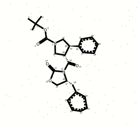 CC(C)(C)OC(=O)N1C[C@@H](C(=O)N2C(=O)OC[C@H]2Cc2ccccc2)[C@H](c2ccccc2)C1